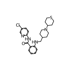 O=C(Nc1ccc(Cl)cn1)c1ccccc1NCC1CCN(C2CCSCC2)CC1